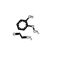 C=CC=O.COc1ccccc1O